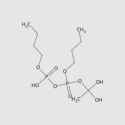 CCCCOP(=O)(O)OP(=O)(OCCCC)OC(C)(O)O